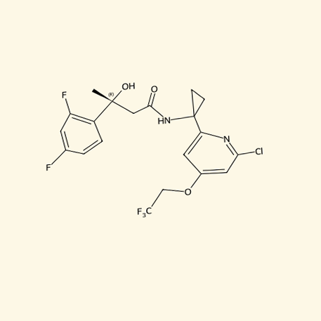 C[C@@](O)(CC(=O)NC1(c2cc(OCC(F)(F)F)cc(Cl)n2)CC1)c1ccc(F)cc1F